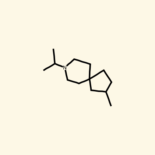 CC1CCC2(CCN(C(C)C)CC2)C1